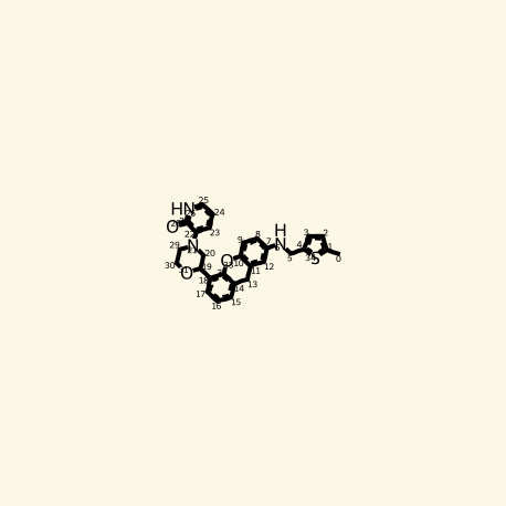 Cc1ccc(CNc2ccc3c(c2)Cc2cccc(C4CN(c5ccc[nH]c5=O)CCO4)c2O3)s1